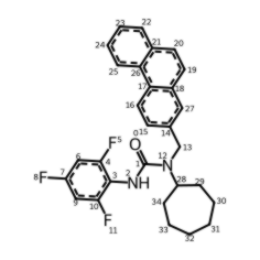 O=C(Nc1c(F)cc(F)cc1F)N(Cc1ccc2c(ccc3ccccc32)c1)C1CCCCCC1